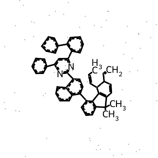 C=CC1C=CC2=C(c3c(-c4ccc(-c5nc(-c6ccccc6)cc(-c6ccccc6-c6ccccc6)n5)c5ccccc45)cccc3C2(C)C)C1/C=C\C